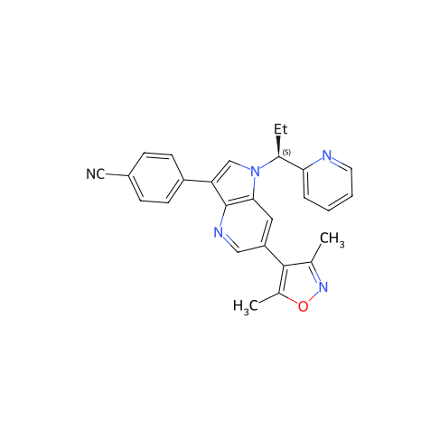 CC[C@@H](c1ccccn1)n1cc(-c2ccc(C#N)cc2)c2ncc(-c3c(C)noc3C)cc21